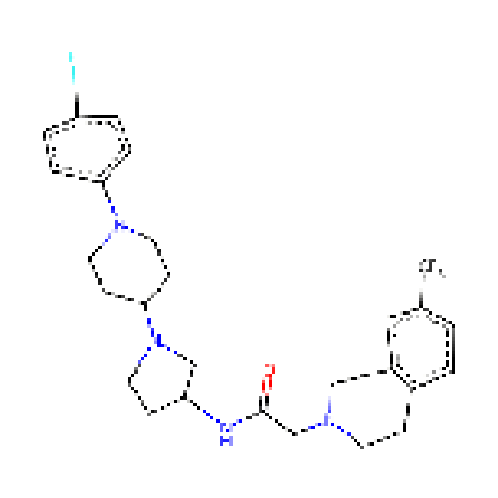 O=C(CN1CCc2ccc(C(F)(F)F)cc2C1)NC1CCN(C2CCN(c3ccc(F)cc3)CC2)C1